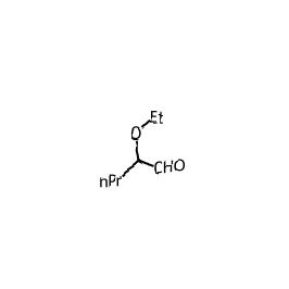 [CH2]CCC(C=O)OCC